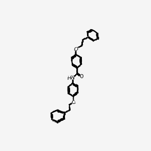 O=C(Nc1ccc(OCCc2ccccc2)cc1)c1ccc(OCCc2ccccc2)cc1